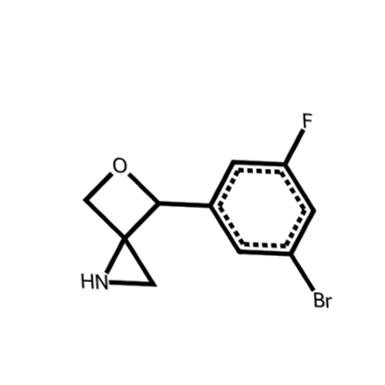 Fc1cc(Br)cc(C2OCC23CN3)c1